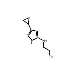 CC(C)CCNc1cc(C2CC2)n[nH]1